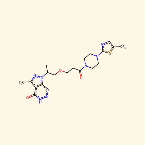 CC(COCCC(=O)N1CCN(c2ncc(C(F)(F)F)s2)CC1)n1nc(C(F)(F)F)c2c(=O)[nH]ncc21